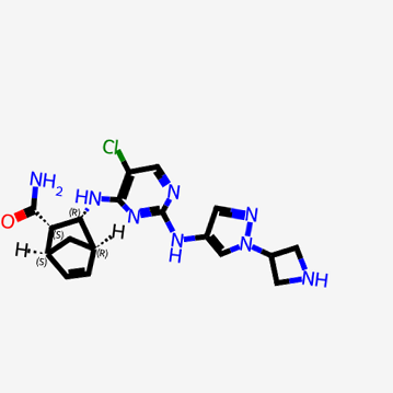 NC(=O)[C@@H]1[C@H](Nc2nc(Nc3cnn(C4CNC4)c3)ncc2Cl)[C@H]2C=C[C@@H]1C2